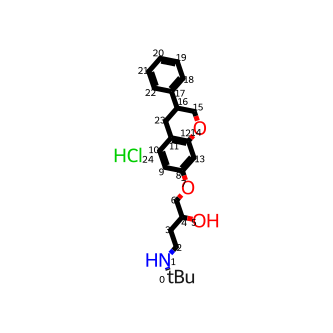 CC(C)(C)NCCC(O)COc1ccc2c(c1)OCC(c1ccccc1)C2.Cl